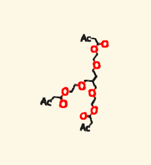 CC(=O)CC(=O)OCCOCCC(COCCOC(=O)CC(C)=O)COCCOC(=O)CC(C)=O